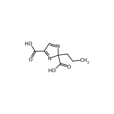 CCCC1(C(=O)O)N=CC(C(=O)O)=N1